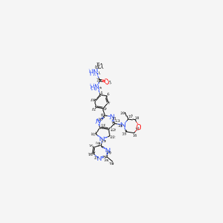 CCNC(=O)Nc1ccc(-c2nc3c(c(N4CCOCC4C)n2)CN(c2ccnc(C)n2)C3)cc1